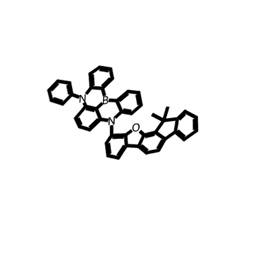 CC1(C)c2ccccc2-c2ccc3c(oc4c(N5c6ccccc6B6c7ccccc7N(c7ccccc7)c7cccc5c76)cccc43)c21